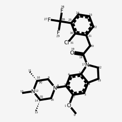 COc1cc2c(cc1N1C[C@@H](C)N(C)[C@@H](C)C1)N(C(=O)Cc1cccc(C(F)(F)F)c1Cl)CC2